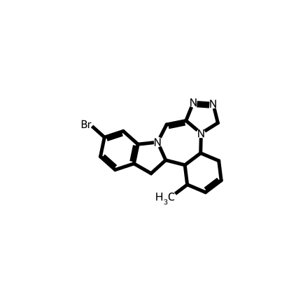 CC1C=CCC2C1C1Cc3ccc(Br)cc3N1C=C1N=NCN12